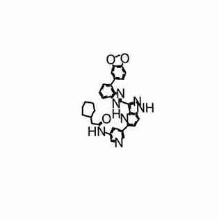 O=C(CC1CCCCC1)Nc1cncc(-c2ccc3[nH]nc(-c4nc5c(-c6ccc7c(c6)OCO7)cccc5[nH]4)c3n2)c1